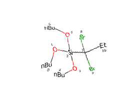 CCCCO[Si](OCCCC)(OCCCC)C(Br)(Br)CC